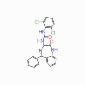 O=C(Nc1c(Cl)cccc1Cl)NC1N=C(c2ccccc2)c2ccccc2NC1=O